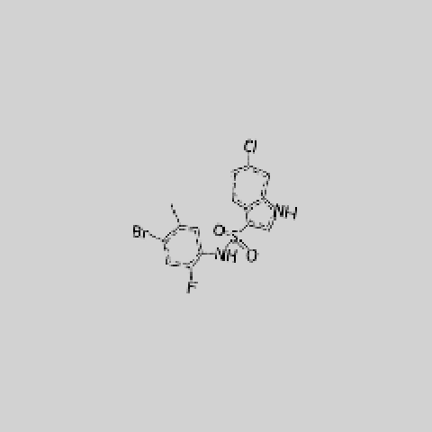 Cc1cc(NS(=O)(=O)c2c[nH]c3cc(Cl)ccc23)c(F)cc1Br